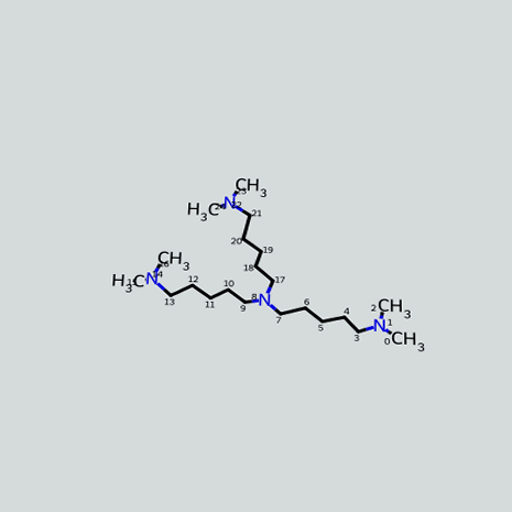 CN(C)CCCCCN(CCCCCN(C)C)CCCCCN(C)C